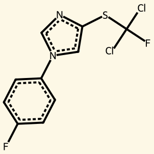 Fc1ccc(-n2cnc(SC(F)(Cl)Cl)c2)cc1